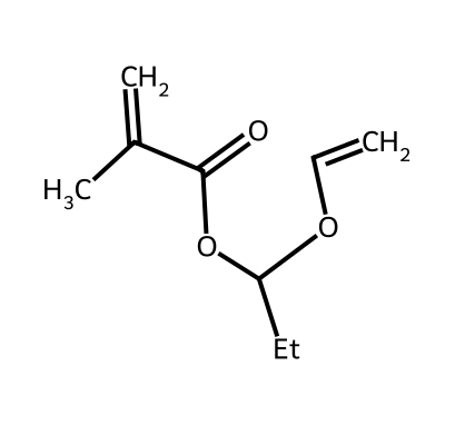 C=COC(CC)OC(=O)C(=C)C